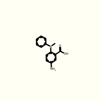 CN(c1ccccc1)c1ccc(N)cc1C(=O)O